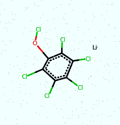 ClOc1c(Cl)c(Cl)c(Cl)c(Cl)c1Cl.[Li]